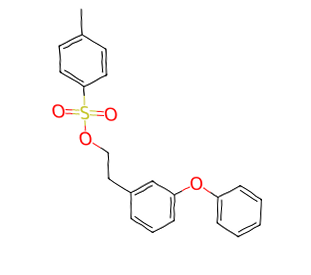 Cc1ccc(S(=O)(=O)OCCc2cccc(Oc3ccccc3)c2)cc1